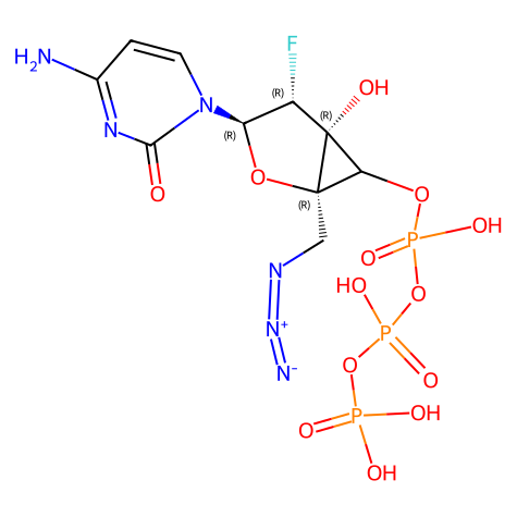 [N-]=[N+]=NC[C@]12O[C@@H](n3ccc(N)nc3=O)[C@H](F)[C@@]1(O)C2OP(=O)(O)OP(=O)(O)OP(=O)(O)O